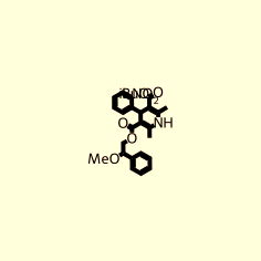 COC(COC(=O)C1=C(C)NC(C)=C(C(=O)OCC(C)C)C1c1ccccc1[N+](=O)[O-])c1ccccc1